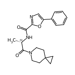 C[C@H](NC(=O)c1ncc(-c2ccccc2)o1)C(=O)N1CCC2(CC1)CC2